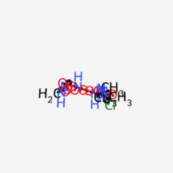 C=C1CCC(N2C(=O)c3cccc(OCC(=O)NCCOCCOCCNC(=O)[C@H](C)[C@@H]4N=C(c5ccc(Cl)cc5)c5cc(OC)ccc5-n5c(C)nnc54)c3C2=O)C(=O)N1